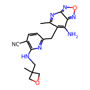 Cc1nc2nonc2c(N)c1Cc1ccc(C#N)c(NCC2(C)COC2)n1